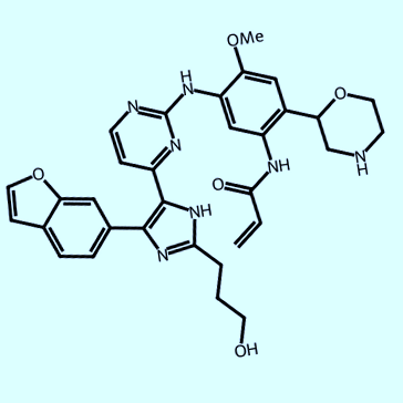 C=CC(=O)Nc1cc(Nc2nccc(-c3[nH]c(CCCO)nc3-c3ccc4ccoc4c3)n2)c(OC)cc1C1CNCCO1